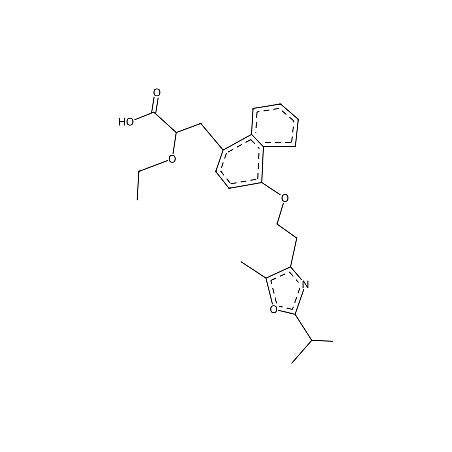 CCOC(Cc1ccc(OCCc2nc(C(C)C)oc2C)c2ccccc12)C(=O)O